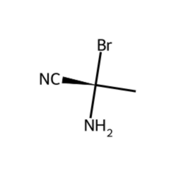 C[C@](N)(Br)C#N